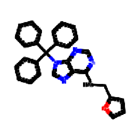 c1ccc(C(c2ccccc2)(c2ccccc2)n2cnc3c([AsH]Cc4ccco4)ncnc32)cc1